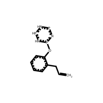 C=CCc1ccccc1Op1np[nH][pH][nH]1